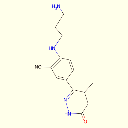 CC1CC(=O)NN=C1c1ccc(NCCCN)c(C#N)c1